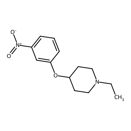 CCN1CCC(Oc2cccc([N+](=O)[O-])c2)CC1